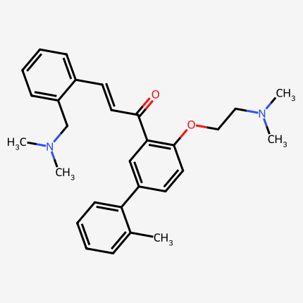 Cc1ccccc1-c1ccc(OCCN(C)C)c(C(=O)/C=C/c2ccccc2CN(C)C)c1